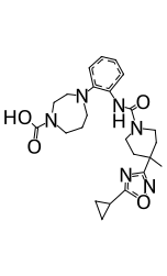 CC1(c2noc(C3CC3)n2)CCN(C(=O)Nc2ccccc2N2CCCN(C(=O)O)CC2)CC1